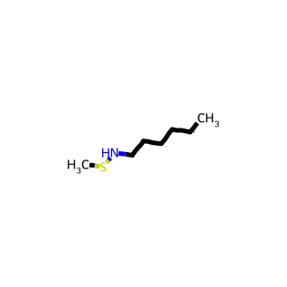 C[CH]CCCCNSC